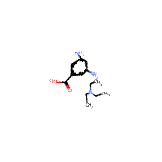 CCN(CC)CC.Nc1cc(N)cc(C(=O)O)c1